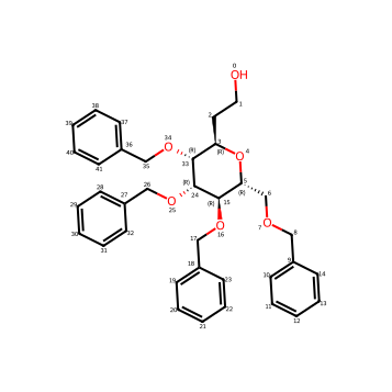 OCC[C@H]1O[C@H](COCc2ccccc2)[C@@H](OCc2ccccc2)[C@H](OCc2ccccc2)[C@@H]1OCc1ccccc1